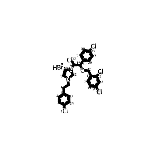 Br.Clc1ccc(CCN2C=CN(C(Cl)C(OCc3ccc(Cl)cc3Cl)c3ccc(Cl)cc3)C2)cc1